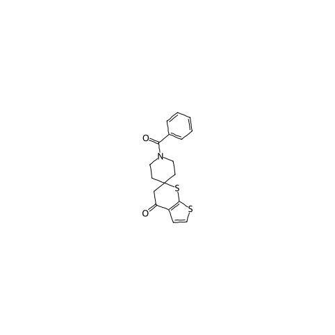 O=C1CC2(CCN(C(=O)c3ccccc3)CC2)Sc2sccc21